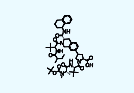 CC[C@@H](C)C(=O)N[C@H](C(=O)N1Cc2cc(C3C[C@@H](C(=O)O)N(C(=O)[C@@H](NC(=O)[C@H](C)N(C)C(=O)OC(C)(C)C)C(C)(C)C)C3)ccc2C[C@H]1C(=O)NC1CCCc2ccccc21)C(C)(C)C